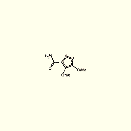 COc1onc(C(N)=O)c1OC